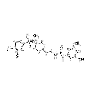 Cc1cc(NC(=O)NCCN2CCC(N(C)S(=O)(=O)c3ccc(Cl)c(Cl)c3)CC2)cc(C)n1